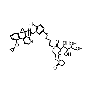 O=C1CCCN1CCCN(CCCSc1ccc(Cl)c(CNC2(c3cnccc3-c3ccccc3OC3CC3)CC2)c1)C(=O)C(O)C(O)C(O)C(O)CO